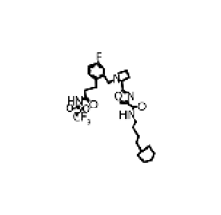 O=C(CCc1ccc(F)cc1CN1CCCC1c1nc(C(=O)NCCCCC2CCCCC2)co1)NS(=O)(=O)C(F)(F)F